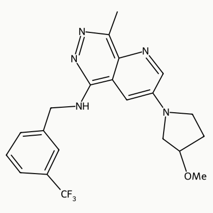 COC1CCN(c2cnc3c(C)nnc(NCc4cccc(C(F)(F)F)c4)c3c2)C1